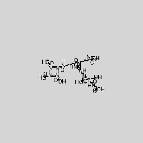 NC(CCCCNC(=O)C(CCCCNC(=O)CN1CCN(CC(=O)O)CCN(CC(=O)O)CCN(CC(=O)O)CC1)NC(=O)CNCCN(CCN(CCNCC(=O)O)CC(=O)O)CC(=O)O)C(=O)O